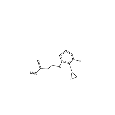 COC(=O)CCSc1cccc(F)c1C1CC1